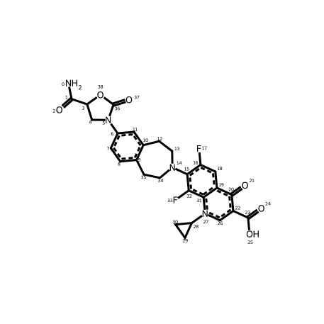 NC(=O)C1CN(c2ccc3c(c2)CCN(c2c(F)cc4c(=O)c(C(=O)O)cn(C5CC5)c4c2F)CC3)C(=O)O1